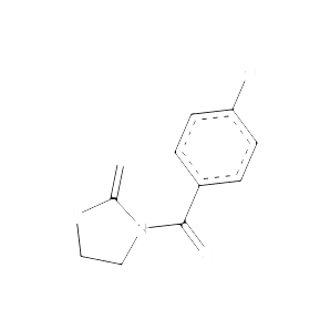 O=C(c1ccc(Cl)cc1)N1CCSC1=S